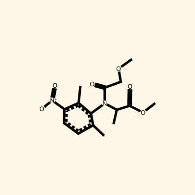 COCC(=O)N(c1c(C)ccc([N+](=O)[O-])c1C)C(C)C(=O)OC